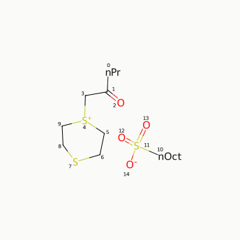 CCCC(=O)C[S+]1CCSCC1.CCCCCCCCS(=O)(=O)[O-]